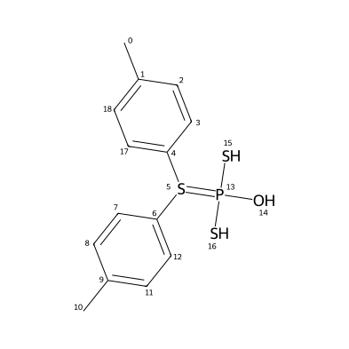 Cc1ccc(S(c2ccc(C)cc2)=P(O)(S)S)cc1